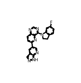 Fc1ccc2c(c1)N(c1ncnc3ccc(-c4cnc5[nH]ncc5c4)nc13)CC2